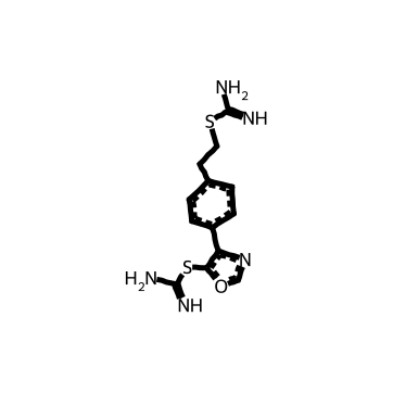 N=C(N)SCCc1ccc(-c2ncoc2SC(=N)N)cc1